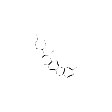 Cc1ccc2oc3cc(C(=O)O)c(N(C(=O)C4CCC(C)CC4)C(C)C)cc3c2c1